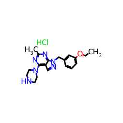 CCOc1cccc(Cn2ncc3c(N4CCNCC4)nc(C)nc32)c1.Cl